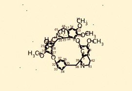 COc1cc2c3cc1Oc1c(OC)c(OC)cc4c1[C@@H](Cc1ccc(OC)c(c1OC)Oc1ccc(cc1)CC3=NCC2)N(C)CC4